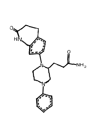 NC(=O)CCC1CN(c2ccccc2)CCN1c1ccc2c(c1)NC(=O)CC2